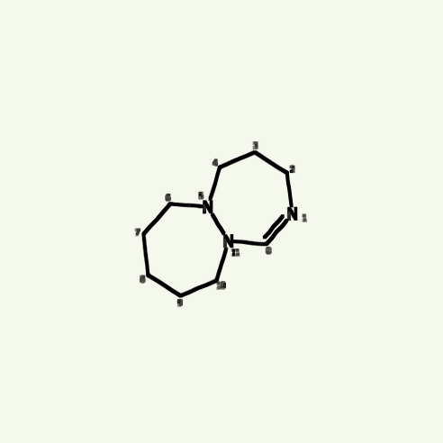 C1=NCCCN2CCCCCN12